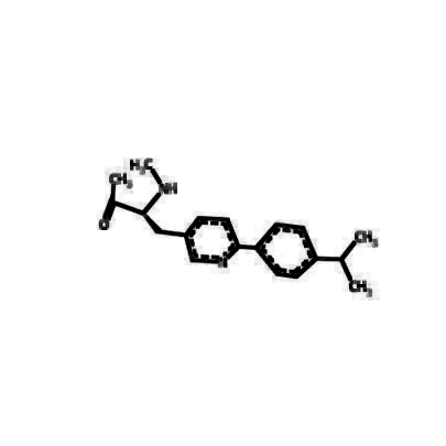 CN[C@@H](Cc1ccc(-c2ccc(C(C)C)cc2)nc1)C(C)=O